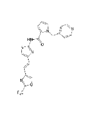 O=C(Nc1nc(/C=C/c2coc(C(F)(F)F)n2)cs1)c1cccn1Cc1ccncc1